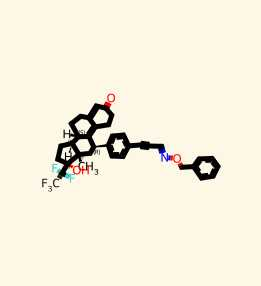 C[C@]12C[C@H](c3ccc(C#CC=NOCc4ccccc4)cc3)C3=C4CCC(=O)C=C4CC[C@H]3[C@@H]1CC[C@@]2(O)C(F)(F)C(F)(F)F